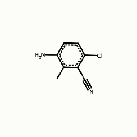 Cc1c(N)ccc(Cl)c1C#N